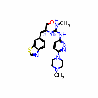 CN/C(=N\C(C=O)=C/c1ccc2ncsc2c1)Nc1ccc(N2CCN(C)CC2)nn1